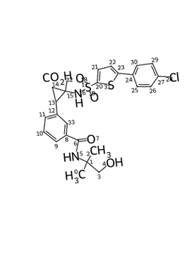 CC(C)(CO)NC(=O)c1cccc(C2CC2(NS(=O)(=O)c2ccc(-c3ccc(Cl)cc3)s2)C(=O)O)c1